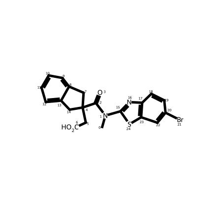 CN(C(=O)C1(CC(=O)O)Cc2ccccc2C1)c1nc2ccc(Br)cc2s1